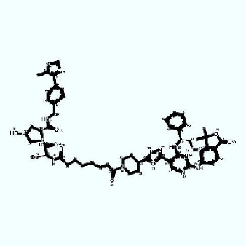 Cc1ncsc1-c1ccc(CNC(=O)[C@@H]2C[C@@H](O)CN2C(=O)[C@@H](NC(=O)CCCCCCC(=O)N2CCC(c3nnc(-c4cnc(Nc5ccc6c(c5)C(C)(C)OC6=O)nc4N[C@H](CO)c4ccccc4)o3)CC2)C(C)(C)C)cc1